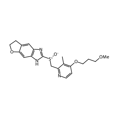 COCCCOc1ccnc(C[S@@+]([O-])c2nc3cc4c(cc3[nH]2)OCC4)c1C